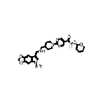 CCCn1cc(CNCC2CCN(c3ncc(C(=O)NOC4CCCCO4)cn3)CC2)c2cc3c(cc21)OCO3